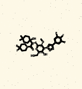 CO[C@@H]1[C@@H](n2cc(-c3cc(F)c(F)c(F)c3)nn2)[C@@H](O)[C@@H](CO)O[C@H]1S[C@H](C(=O)N1CCC(F)(F)CC1)C1(O)CCC(C)(C)CC1